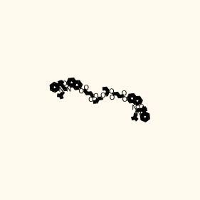 CCC(COCC(CC)OC(=O)CCC(=O)Oc1ccc2ccc3c(c2c1)N=CC1(O3)N(CC(C)C)c2ccccc2C1(C)C)OC(=O)CCC(=O)Oc1ccc2ccc3c(c2c1)N=CC1(O3)N(CC(C)C)c2ccccc2C1(C)C